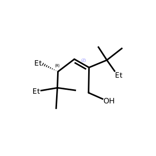 CC[C@H](/C=C(\CO)C(C)(C)CC)C(C)(C)CC